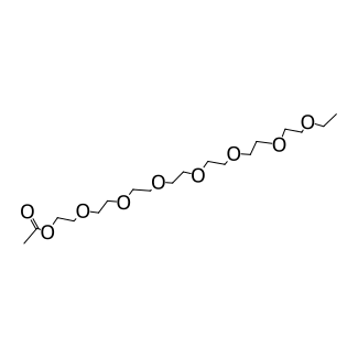 CCOCCOCCOCCOCCOCCOCCOCCOC(C)=O